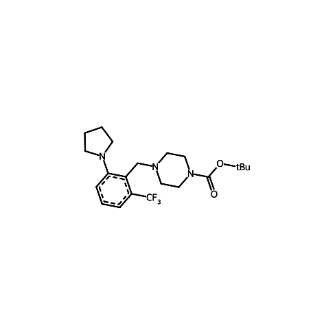 CC(C)(C)OC(=O)N1CCN(Cc2c(N3CCCC3)cccc2C(F)(F)F)CC1